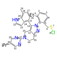 CCc1cccc(CSCl)c1-n1nc2c(c1-c1ccc(C)c3[nH]ccc13)CN(c1ncc(C(C)C)cn1)CC2